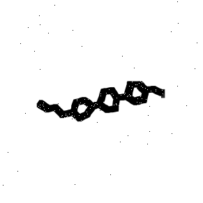 C=CCCC1CCC(C2CCC(c3ccc(CI)cc3)CC2)CC1